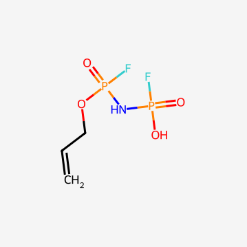 C=CCOP(=O)(F)NP(=O)(O)F